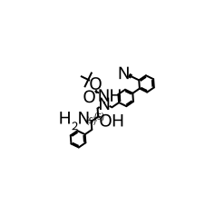 CC(C)(C)OC(=O)NN(Cc1ccc(-c2ccccc2C#N)cc1)C[C@H](O)[C@@H](N)Cc1ccccc1